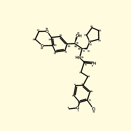 COc1ccc(CCC(=P)N[C@H](CN2CCCC2)[C@H](O)c2ccc3c(c2)OCCO3)cc1Cl